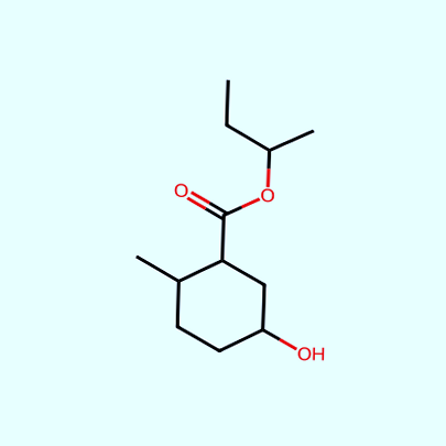 CCC(C)OC(=O)C1CC(O)CCC1C